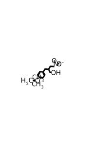 CC(C)(C)Oc1ccc(CC(CO)CC[N+](=O)[O-])cc1